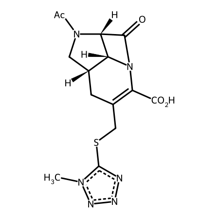 CC(=O)N1C[C@H]2CC(CSc3nnnn3C)=C(C(=O)O)N3C(=O)[C@@H]1[C@@H]23